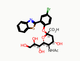 CC(=O)N[C@H]1[C@H]([C@H](O)[C@H](O)CO)O[C@@](Oc2ccc(Br)cc2-c2nc3ccccc3s2)(C(=O)O)C[C@@H]1O